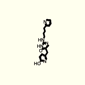 O=c1[nH]c(NCCCCc2ccccn2)ncc1Cc1ccc(O)nc1